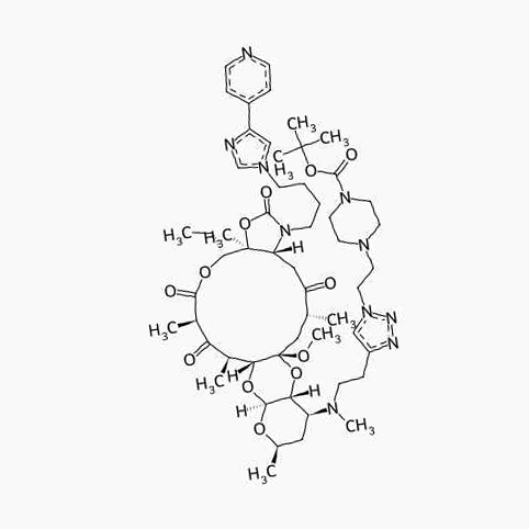 CC[C@H]1OC(=O)[C@H](C)C(=O)[C@H](C)[C@H]2O[C@@H]3O[C@H](C)C[C@H](N(C)CCc4cn(CCN5CCN(C(=O)OC(C)(C)C)CC5)nn4)[C@H]3O[C@@]2(OC)C[C@@H](C)C(=O)C[C@H]2N(CCCCn3cnc(-c4ccncc4)c3)C(=O)O[C@]12C